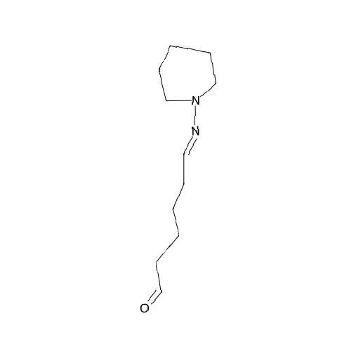 O=CCCCCC=NN1CCCCC1